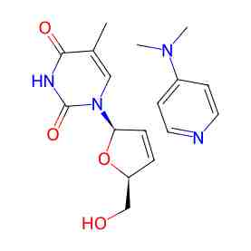 CN(C)c1ccncc1.Cc1cn([C@H]2C=C[C@@H](CO)O2)c(=O)[nH]c1=O